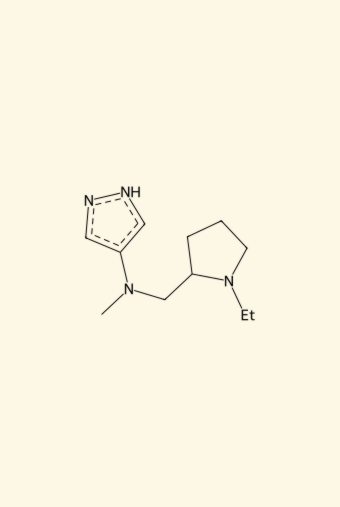 CCN1CCCC1CN(C)c1cn[nH]c1